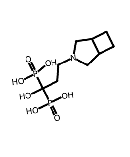 O=P(O)(O)C(O)(CCN1CC2CCC2C1)P(=O)(O)O